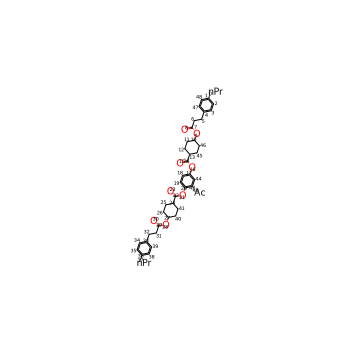 CCCc1ccc(CCC(=O)OC2CCC(C(=O)Oc3ccc(OC(=O)C4CCC(OC(=O)CCc5ccc(CCC)cc5)CC4)c(C(C)=O)c3)CC2)cc1